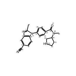 Cc1nc2cc(C#N)ccc2n1-c1ccc(C(=O)N(C)C2CCNC2)cc1